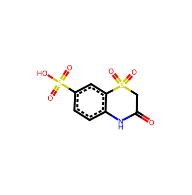 O=C1CS(=O)(=O)c2cc(S(=O)(=O)O)ccc2N1